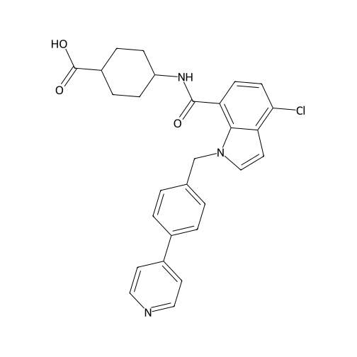 O=C(NC1CCC(C(=O)O)CC1)c1ccc(Cl)c2ccn(Cc3ccc(-c4ccncc4)cc3)c12